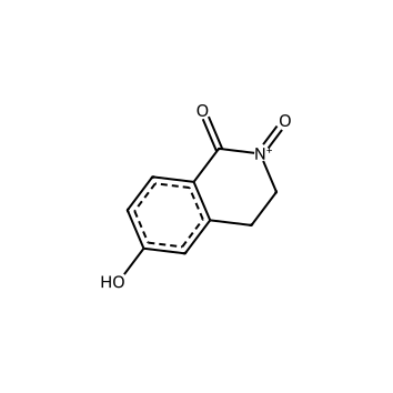 O=C1c2ccc(O)cc2CC[N+]1=O